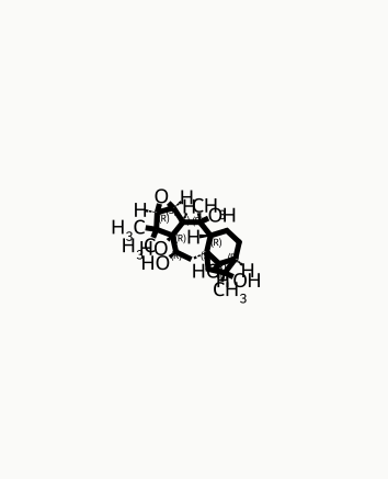 CC1(C)[C@H]2O[C@H]2[C@H]2[C@](C)(O)[C@@H]3CC[C@@H]4[C@@H](O)[C@@]3(C[C@@H](O)[C@@]21O)C[C@@]4(C)O